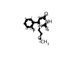 COCCn1c(-c2ccccc2F)cc(=O)[nH]c1=S